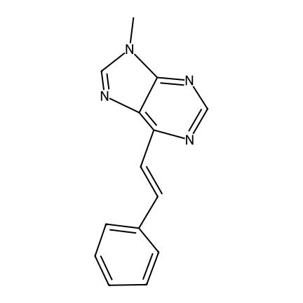 Cn1cnc2c(C=Cc3ccccc3)ncnc21